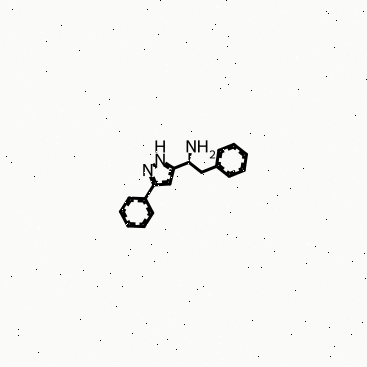 N[C@@H](Cc1ccccc1)c1cc(-c2ccccc2)n[nH]1